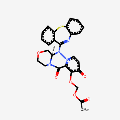 COC(=O)OCOc1c2n(ccc1=O)N(C1=Nc3ccccc3Sc3ccccc31)[C@@H]1COCCN1C2=O